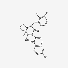 CC12CCCN1N(Cc1cccc(F)c1F)C(=O)C(C(=O)Nc1ccc(Br)cc1I)=C2O